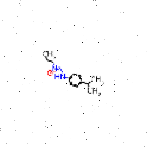 CCC/[N+]([O-])=N/Nc1ccc(C(C)C)cc1